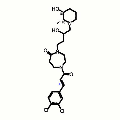 C[C@@H]1[C@@H](O)CCCN1CC(O)CCN1CCN(C(=O)/C=C/c2ccc(Cl)c(Cl)c2)CCC1=O